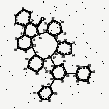 O=c1c2ccccc2c2cccc3c2n1-c1ccccc1-c1ccccc1N(c1nc(-c2ccccc2)cc(-c2ccccc2)n1)c1ccccc1-3